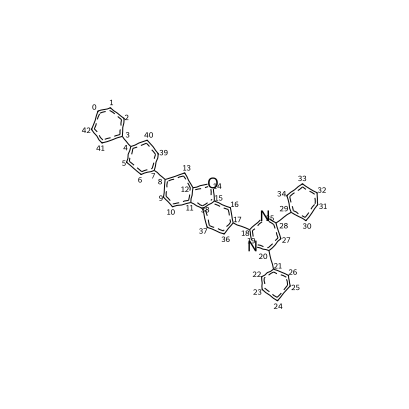 c1ccc(-c2ccc(-c3ccc4c(c3)oc3cc(-c5nc(-c6ccccc6)cc(-c6ccccc6)n5)ccc34)cc2)cc1